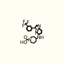 O=C(O)N1CCCC(Nc2ccc3ncc(-c4cccc(C(F)(F)F)c4)n3n2)CC1